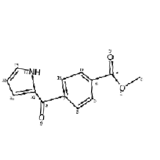 COC(=O)c1ccc(C(=O)c2ccc[nH]2)cc1